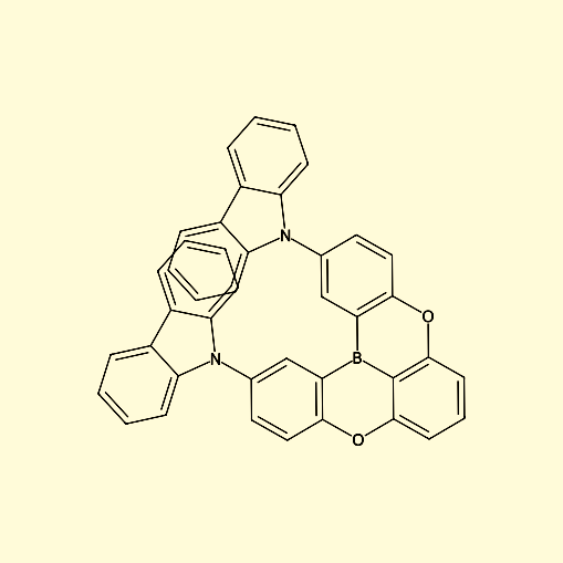 c1cc2c3c(c1)Oc1ccc(-n4c5ccccc5c5ccccc54)cc1B3c1cc(-n3c4ccccc4c4ccccc43)ccc1O2